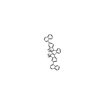 C[Si]1(C)c2cc(-c3cccc4ccccc34)ccc2-c2c1c1c(c3ccccc23)-c2ccc(-c3cccc4ccccc34)cc2[Si]1(C)C